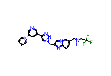 FC(F)(F)CNCc1ccc2nc(Cn3cc(-c4cncc(-n5cccc5)c4)nn3)cn2c1